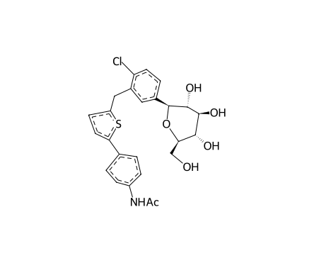 CC(=O)Nc1ccc(-c2ccc(Cc3cc([C@@H]4O[C@H](CO)[C@@H](O)[C@H](O)[C@H]4O)ccc3Cl)s2)cc1